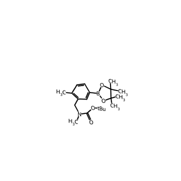 Cc1ccc(B2OC(C)(C)C(C)(C)O2)cc1CN(C)C(=O)OC(C)(C)C